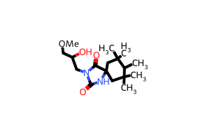 COCC(O)CN1C(=O)NC2(CC(C)(C)C(C)C(C)(C)C2)C1=O